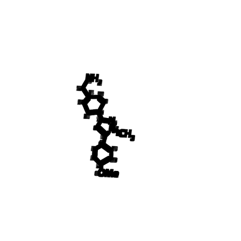 COc1ccc(-c2cc(-c3ccc(CN)cc3)nn2C)cc1